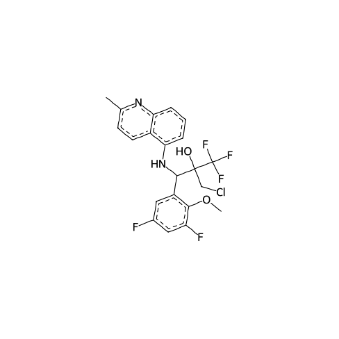 COc1c(F)cc(F)cc1C(Nc1cccc2nc(C)ccc12)C(O)(CCl)C(F)(F)F